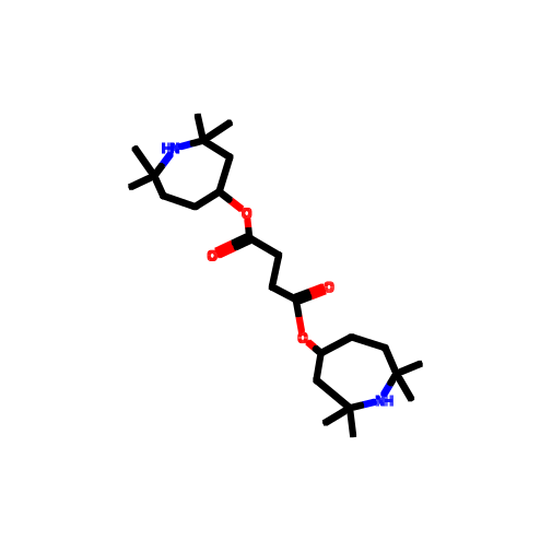 CC1(C)CCC(OC(=O)CCC(=O)OC2CCC(C)(C)NC(C)(C)C2)CC(C)(C)N1